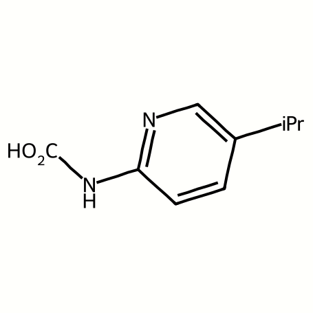 CC(C)c1ccc(NC(=O)O)nc1